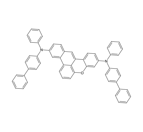 c1ccc(-c2ccc(N(c3ccccc3)c3ccc4c(c3)Oc3cccc5c3c-4cc3ccc(N(c4ccccc4)c4ccc(-c6ccccc6)cc4)cc35)cc2)cc1